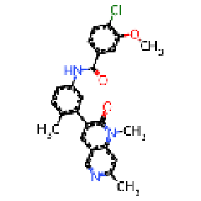 COc1cc(C(=O)Nc2ccc(C)c(-c3cc4cnc(C)cc4n(C)c3=O)c2)ccc1Cl